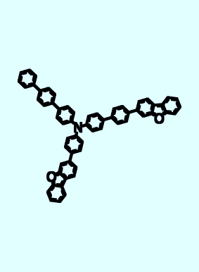 c1ccc(-c2ccc(-c3ccc(N(c4ccc(-c5ccc(-c6ccc7c(c6)oc6ccccc67)cc5)cc4)c4ccc(-c5ccc6c(c5)oc5ccccc56)cc4)cc3)cc2)cc1